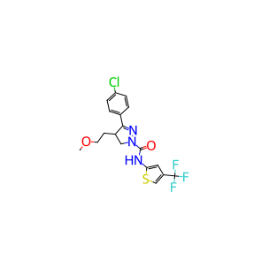 COCCC1CN(C(=O)Nc2cc(C(F)(F)F)cs2)N=C1c1ccc(Cl)cc1